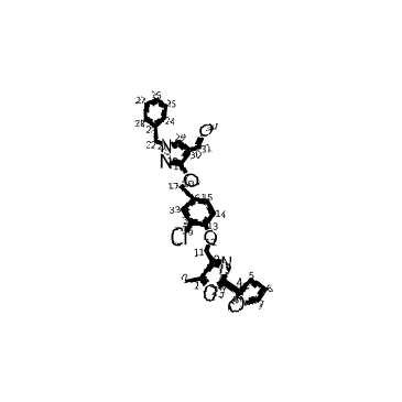 Cc1oc(-c2ccco2)nc1COc1ccc(COc2nn(Cc3ccccc3)cc2C=O)cc1Cl